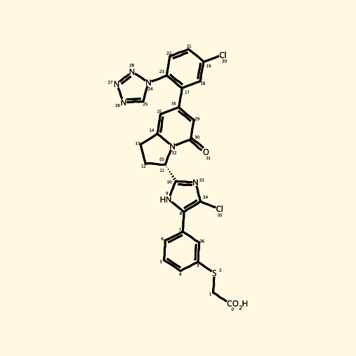 O=C(O)CSc1cccc(-c2[nH]c([C@@H]3CCc4cc(-c5cc(Cl)ccc5-n5cnnn5)cc(=O)n43)nc2Cl)c1